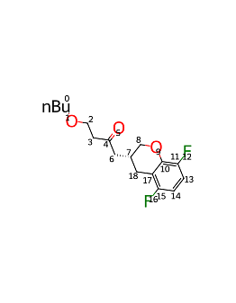 CCCCOCCC(=O)C[C@@H]1COc2c(F)ccc(F)c2C1